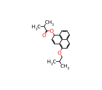 CC(C)COc1ccc2cccc3c2c1C=CC3OC(=O)C(C)C